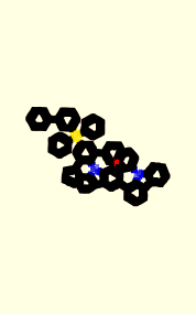 C1=CC23CC=Cc4c2n(c2ccc(-c5cccc6c7ccccc7n(-c7ccccc7)c56)cc42)-c2c(cc(S(c4ccccc4)(c4ccccc4)c4cccc(-c5ccccc5)c4)cc2-c2ccccc2)C3=C1